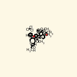 CC[C@]1(O)C[C@H]2C[N@](CCc3c([nH]c4ccccc34)[C@@](C(=O)OC)(c3cc4c(cc3OC)N(C=O)[C@H]3[C@@](O)(C(=O)OC)[C@H](OC(C)=O)[C@]5(CC)C=CCN6CC[C@]43[C@@H]65)C2)C1.ClC(Cl)Cl